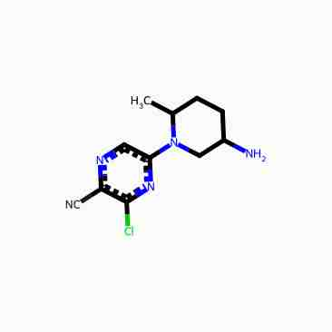 CC1CCC(N)CN1c1cnc(C#N)c(Cl)n1